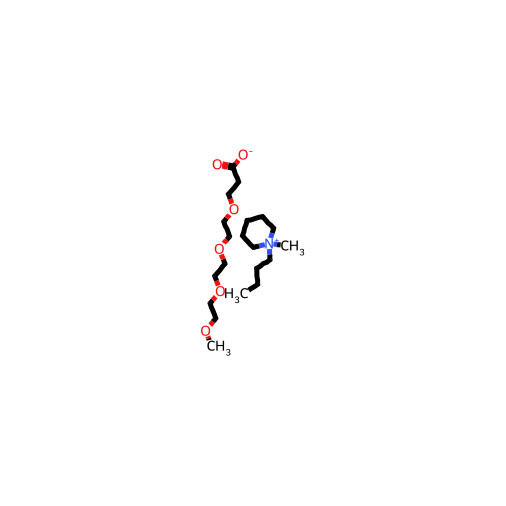 CCCC[N+]1(C)CCCCC1.COCCOCCOCCOCCC(=O)[O-]